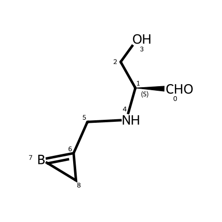 O=C[C@H](CO)NCC1=BC1